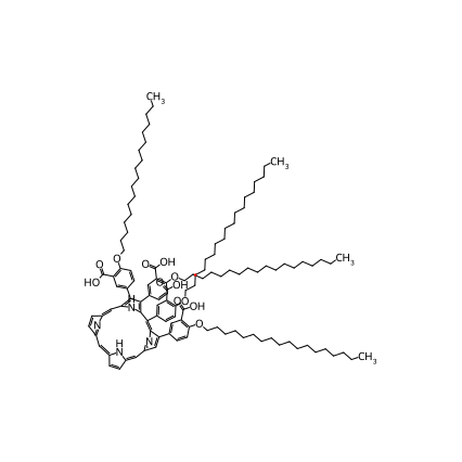 CCCCCCCCCCCCCCCCCCOc1ccc(C2=Cc3cc4ccc(cc5nc(cc6[nH]c(c(-c7ccc(OCCCCCCCCCCCCCCCCCC)c(C(=O)O)c7)c2n3)c(-c2ccc(OCCCCCCCCCCCCCCCCCC)c(C(=O)O)c2)c6-c2ccc(OCCCCCCCCCCCCCCCCCC)c(C(=O)O)c2)C=C5)[nH]4)cc1C(=O)O